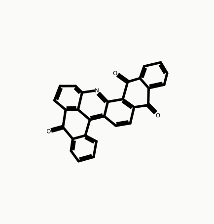 O=C1c2ccccc2C(=O)c2c1ccc1c3c4c(cccc4nc21)C(=O)c1ccccc1-3